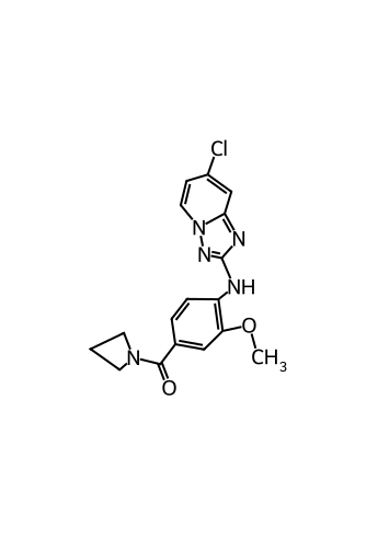 COc1cc(C(=O)N2CCC2)ccc1Nc1nc2cc(Cl)ccn2n1